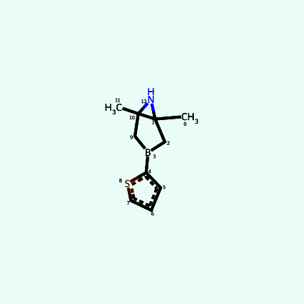 CC12CB(c3cccs3)CC1(C)N2